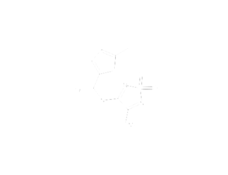 COC1=NS(=O)(=O)N=C1N[C@@H](c1ccc(C)o1)C(C)(C)C